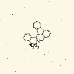 Cc1ccccc1-c1c2c3c(cccc3c[n+]1C)-c1ccccc1-2